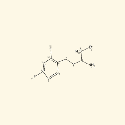 CC[SiH2]C(N)CCc1ccc(F)cc1F